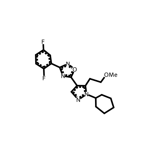 COCCc1c(-c2nc(-c3cc(F)ccc3F)no2)cnn1C1CCCCC1